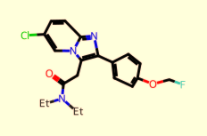 CCN(CC)C(=O)Cc1c(-c2ccc(OCF)cc2)nc2ccc(Cl)cn12